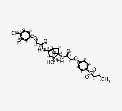 CCCS(=O)(=O)c1ccc(OCC(=O)NC23CC(=C(NC(=O)COc4ccc(Cl)c(F)c4)C[C@@H]2O)C3)cc1